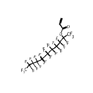 C=CC(=O)OC(F)(C(F)(F)F)C(F)(F)C(F)(F)C(F)(F)C(F)(F)C(F)(F)C(F)(F)C(F)(F)C(F)(F)C(F)(F)F